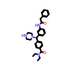 CCN(CC)C(=O)c1ccc([C@H](c2cccc(NC(=O)Cc3ccccc3)c2)N2CCNCC2)cc1